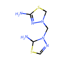 NC1=NN(CN2N=CSC2N)CS1